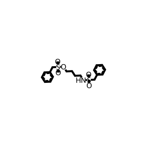 O=S(=O)(Cc1ccccc1)NCCCCOS(=O)(=O)Cc1ccccc1